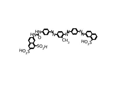 Cc1cc(N=Nc2ccc(NC(=O)Nc3ccc4cc(S(=O)(=O)O)cc(S(=O)(=O)O)c4c3)cc2)ccc1N=Nc1ccc(N=Nc2ccc3cccc(S(=O)(=O)O)c3c2)cc1